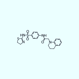 O=C(CN1CCCc2ccccc21)Nc1ccc(S(=O)(=O)NC2=NCCS2)cc1